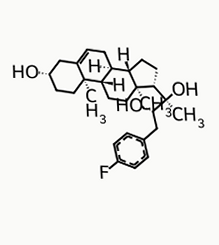 C[C@@](O)([C@H]1CC[C@H]2[C@@H]3CC=C4C[C@@H](O)CC[C@]4(C)[C@H]3CC[C@]12C)[C@@H](O)Cc1ccc(F)cc1